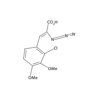 COc1ccc(C=C(N=[N+]=[N-])C(=O)O)c(Cl)c1OC